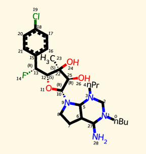 CCCCN1CN(CCC)C2C(CCN2[C@@H]2O[C@H]([C@H](F)c3ccc(Cl)cc3)[C@@](C)(O)[C@H]2O)C1N